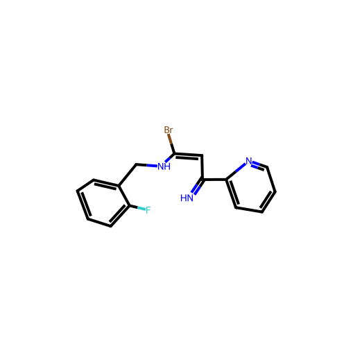 N=C(/C=C(/Br)NCc1ccccc1F)c1ccccn1